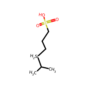 CC(C)[SiH2]CCCS(=O)(=O)O